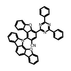 N#Cc1cc(-c2nc(-c3ccccc3)nc(-c3ccccc3)n2)c2oc3ccccc3c2c1-n1c2ccccc2c2ccc3c4ccccc4oc3c21